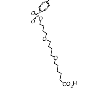 Cc1ccc(S(=O)(=O)OCCCCOCCCCOCCCCCC(=O)O)cc1